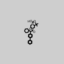 CC(C)(C)C1CN(C(=O)C(c2ccc(-c3ccccc3)cc2)C2(O)CCCCC2)CCN1C(=O)O